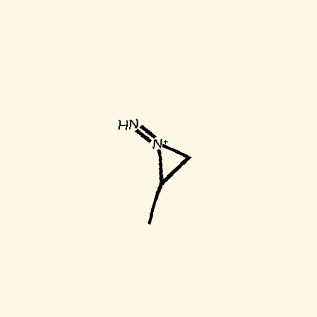 CC1C[N+]1=N